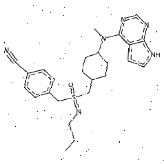 CCCN=S(=O)(Cc1ccc(C#N)cc1)CC1CCC(N(C)c2ncnc3[nH]ccc23)CC1